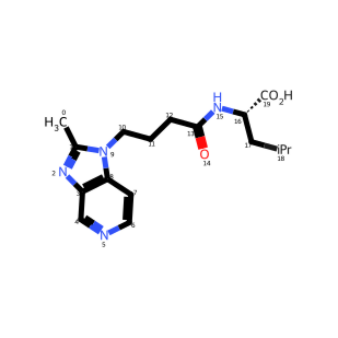 Cc1nc2cnccc2n1CCCC(=O)N[C@@H](CC(C)C)C(=O)O